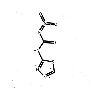 O=C(N=S(=O)=O)Nc1nncs1